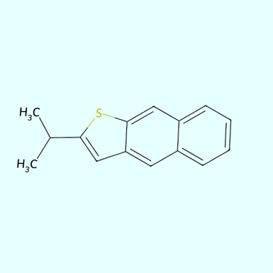 CC(C)c1cc2cc3ccccc3cc2s1